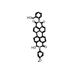 COc1ccc(N2C(=O)c3ccc4c5c(ccc(c35)C2O)C2C=CC3=C5C(=CC=C4C52)C(=O)N(c2ccccc2CO)C3=O)cc1